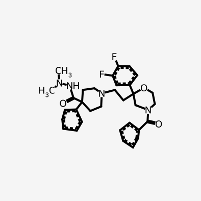 CN(C)NC(=O)C1(c2ccccc2)CCN(CCC2(c3ccc(F)c(F)c3)CN(C(=O)c3ccccc3)CCO2)CC1